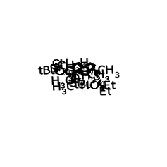 CCC(CC)[C@@H](O)CS[C@@H](C)C1=CC[C@H]2C3=CC=C4C[C@@H](O[Si](C)(C)C(C)(C)C)C[C@H](O[Si](C)(C)C(C)(C)C)[C@]4(C)[C@H]3CC[C@]12C